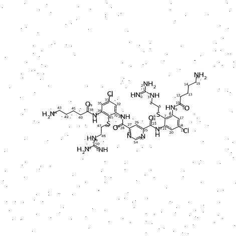 N=C(N)NCCSc1c(NC(=O)CCCCN)cc(Cl)cc1NC(=O)c1cc(C(=O)Nc2cc(Cl)cc(NC(=O)CCCCN)c2SCCNC(=N)N)ncn1